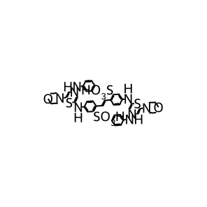 O=S(=O)(O)c1cc(NC2=CN(Nc3ccccc3)C=C(N3CCOCC3)S2)ccc1C=Cc1ccc(NC2=CN(Nc3ccccc3)C=C(N3CCOCC3)S2)cc1S(=O)(=O)O